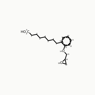 O=C(O)CCCCCCCc1ccccc1OCC1CO1